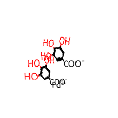 O=C([O-])c1cc(O)c(O)c(O)c1.O=C([O-])c1cc(O)c(O)c(O)c1.[Pd+2]